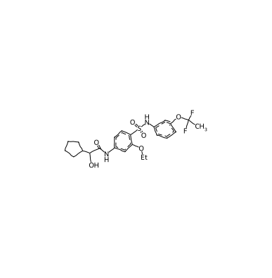 CCOc1cc(NC(=O)C(O)C2CCCC2)ccc1S(=O)(=O)Nc1cccc(OC(C)(F)F)c1